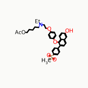 CCN(CCCCCOC(C)=O)CCOc1ccc(Oc2c(-c3ccc(S(C)(=O)=O)cc3)ccc3cc(O)ccc23)cc1